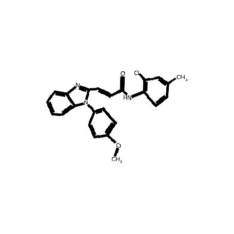 COc1ccc(-n2c(/C=C/C(=O)Nc3ccc(C)cc3Cl)nc3ccccc32)cc1